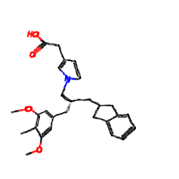 COc1cc(C[C@@H](CC2Cc3ccccc3C2)Cn2ccc(CC(=O)O)c2)cc(OC)c1C